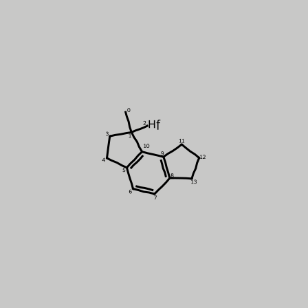 C[C]1([Hf])CCc2ccc3c(c21)CCC3